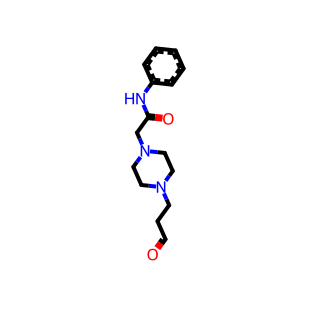 O=CCCN1CCN(CC(=O)Nc2ccccc2)CC1